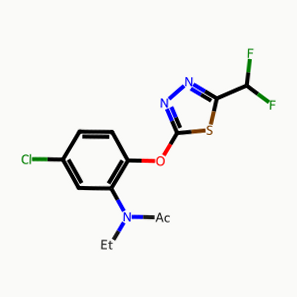 CCN(C(C)=O)c1cc(Cl)ccc1Oc1nnc(C(F)F)s1